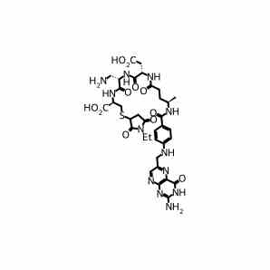 CCN1C(=O)CC(SC[C@H](NC(=O)[C@H](CN)NC(=O)[C@H](CC(=O)O)NC(=O)CC[C@@H](C)NC(=O)c2ccc(NCc3cnc4nc(N)[nH]c(=O)c4n3)cc2)C(=O)O)C1=O